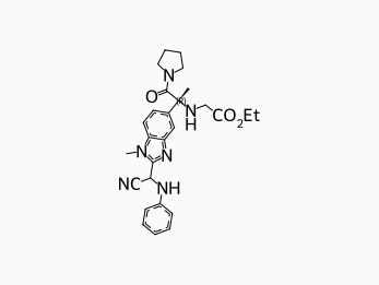 CCOC(=O)CN[C@@](C)(C(=O)N1CCCC1)c1ccc2c(c1)nc(C(C#N)Nc1ccccc1)n2C